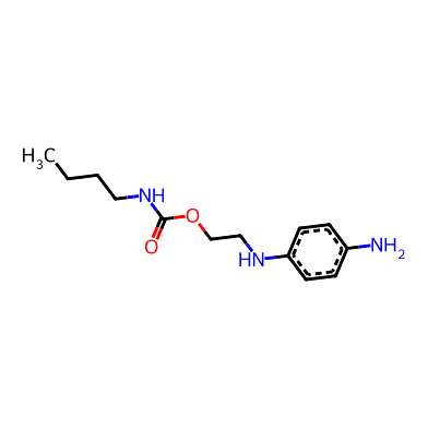 CCCCNC(=O)OCCNc1ccc(N)cc1